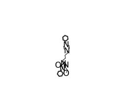 O=c1n(CCCCN2CCN(c3ccccc3)CC2)nc2n1-c1ccccc1OC2